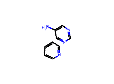 Nc1cncnc1.c1ccncc1